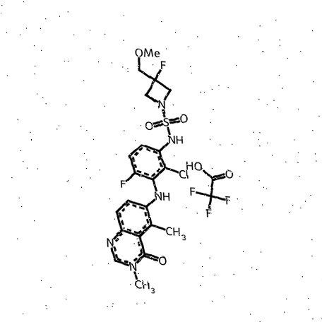 COCC1(F)CN(S(=O)(=O)Nc2ccc(F)c(Nc3ccc4ncn(C)c(=O)c4c3C)c2Cl)C1.O=C(O)C(F)(F)F